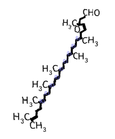 CC(C)=CCC/C(C)=C/C=C/C(C)=C/C=C/C(C)=C/C=C/C=C(C)/C=C/C=C(\C)C1C=CC(C)(CCC=O)O1